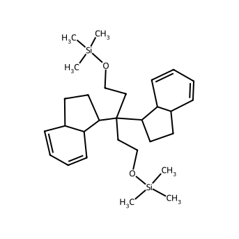 C[Si](C)(C)OCCC(CCO[Si](C)(C)C)(C1CCC2C=CC=CC21)C1CCC2C=CC=CC21